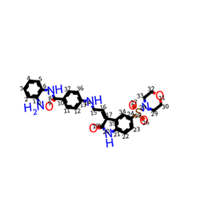 Nc1ccccc1NC(=O)c1ccc(NCC=C2C(=O)Nc3ccc(S(=O)(=O)N4CCOCC4)cc32)cc1